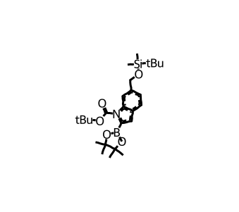 CC(C)(C)OC(=O)n1c(B2OC(C)(C)C(C)(C)O2)cc2ccc(CO[Si](C)(C)C(C)(C)C)cc21